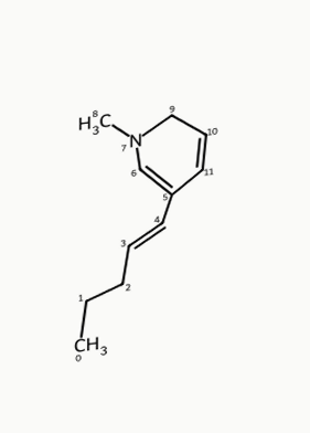 CCC/C=C/C1=CN(C)CC=C1